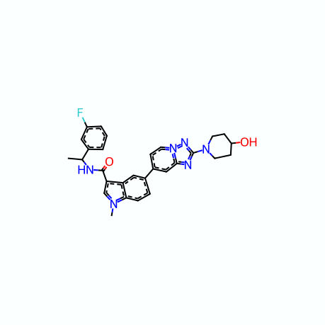 CC(NC(=O)c1cn(C)c2ccc(-c3ccn4nc(N5CCC(O)CC5)nc4c3)cc12)c1cccc(F)c1